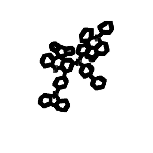 c1ccc(-c2ccc(N(c3cc(-c4ccc(-n5c6ccccc6c6ccccc65)cc4)c4c(c3)C3(c5ccccc5S4)c4ccccc4-c4ccccc43)c3cccc4c3oc3cccc(N(c5ccccc5)c5ccccc5-c5ccccc5)c34)cc2)cc1